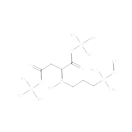 CCO[Si](C)(C)CCCN(CC)C(CC(=O)O[Si](C(C)C)(C(C)C)C(C)C)C(=O)O[Si](C(C)C)(C(C)C)C(C)C